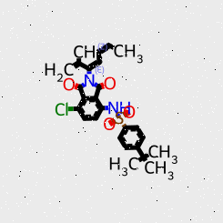 C=C(C)/C(=C\C=C/C)N1C(=O)c2c(Cl)ccc(NS(=O)(=O)c3ccc(C(C)(C)C)cc3)c2C1=O